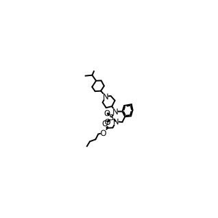 CCCCOC(=O)CN1Cc2ccccc2N(C2CCN(C3CCC(C(C)C)CC3)CC2)S1(=O)=O